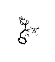 CCCCOC(=O)C(=Cc1ccccc1)[SiH2]O[SiH2]C